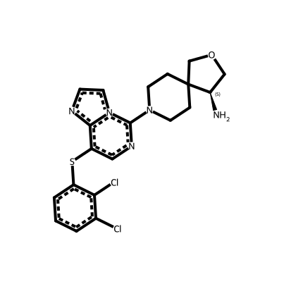 N[C@@H]1COCC12CCN(c1ncc(Sc3cccc(Cl)c3Cl)c3nccn13)CC2